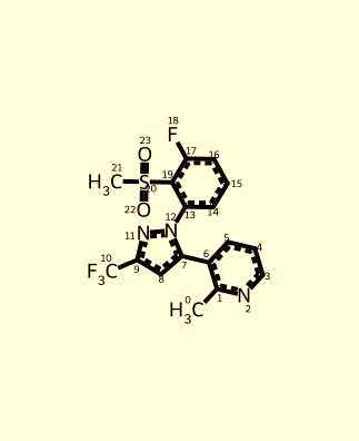 Cc1ncccc1-c1cc(C(F)(F)F)nn1-c1cccc(F)c1S(C)(=O)=O